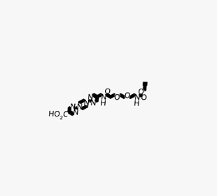 C#CCOC(=O)NCCOCCOCCC(=O)NCc1cnc(N2CCN(c3ncc(C(=O)O)cn3)CC2)nc1